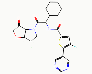 O=C(NC(C(=O)N1C[C@H](Cl)[C@H]2OCC(=O)[C@H]21)C1CCCCC1)c1cc(F)c(-c2cncnc2)s1